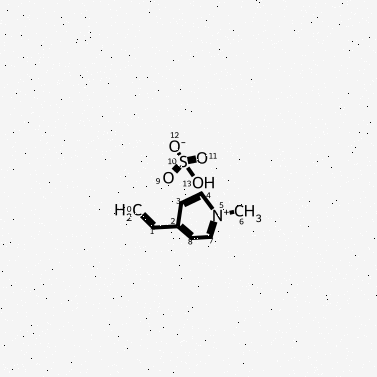 C=Cc1cc[n+](C)cc1.O=S(=O)([O-])O